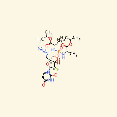 CC(C)OC(=O)C(C)NP(=O)(NC(C)C(=O)OC(C)C)OC[C@@]1(CN=[N+]=[N-])OC(n2ccc(=O)[nH]c2=O)[C@H](F)[C@@H]1O